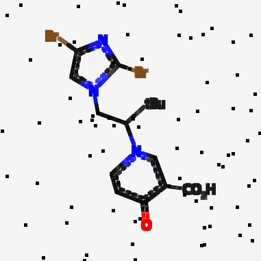 CC(C)(C)C(Cn1cc(Br)nc1Br)n1ccc(=O)c(C(=O)O)c1